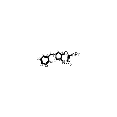 CCCC(=O)OC1CN(Cc2ccccc2)CC1[N+](=O)[O-]